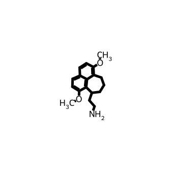 COc1ccc2ccc(OC)c3c2c1CCCC3CCN